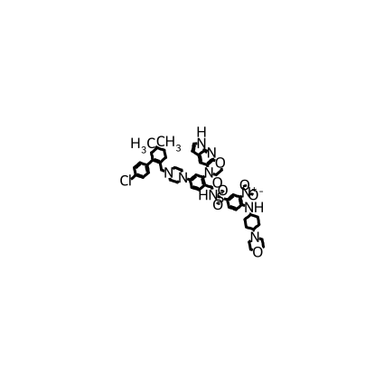 CC1(C)CCC(CN2CCN(c3ccc(C(=O)NS(=O)(=O)c4ccc(N[C@H]5CC[C@H](N6CCOCC6)CC5)c([N+](=O)[O-])c4)c(N4CCOc5nc6[nH]ccc6cc54)c3)CC2)=C(c2ccc(Cl)cc2)C1